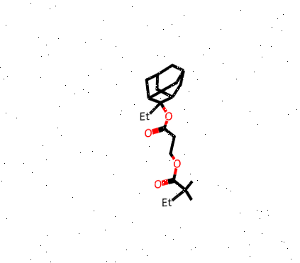 CCC(C)(C)C(=O)OCCC(=O)OC1(CC)C2CC3CC(C2)CC1C3